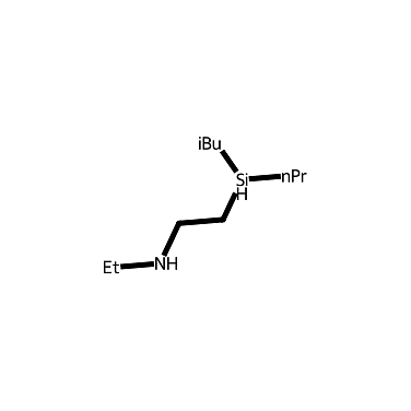 CCC[SiH](CCNCC)C(C)CC